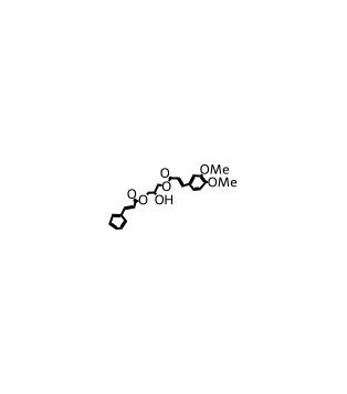 COc1ccc(C=CC(=O)OCC(O)COC(=O)C=Cc2ccccc2)cc1OC